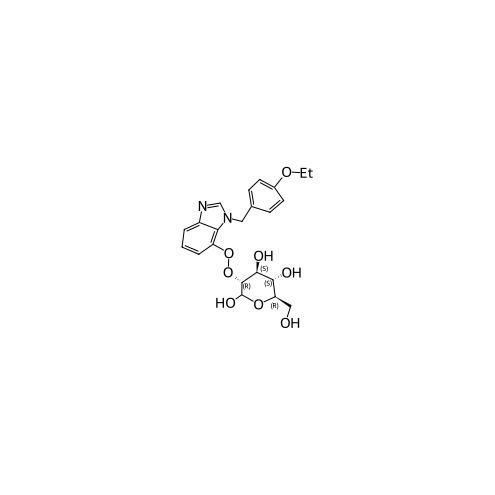 CCOc1ccc(Cn2cnc3cccc(OO[C@H]4C(O)O[C@H](CO)[C@@H](O)[C@@H]4O)c32)cc1